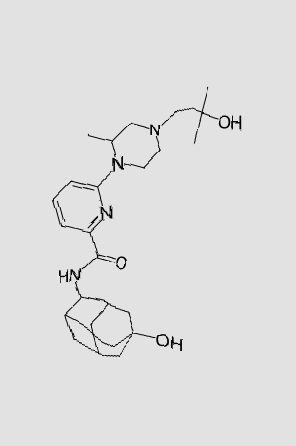 CC1CN(CC(C)(C)O)CCN1c1cccc(C(=O)NC2C3CC4CC2CC(O)(C4)C3)n1